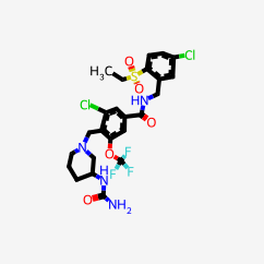 CCS(=O)(=O)c1ccc(Cl)cc1CNC(=O)c1cc(Cl)c(CN2CCCC(NC(N)=O)C2)c(OC(F)(F)F)c1